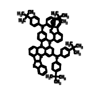 CC(C)(C)c1ccc(N(c2ccc(C(C)(C)C)cc2)c2ccc3c(c2)N(c2cccc4c2sc2ccccc24)c2cc(N(c4ccc(C(C)(C)C)cc4)c4ccc(C(C)(C)C)cc4)cc4c2B3c2cccc3c5sc6ccccc6c5n-4c23)cc1